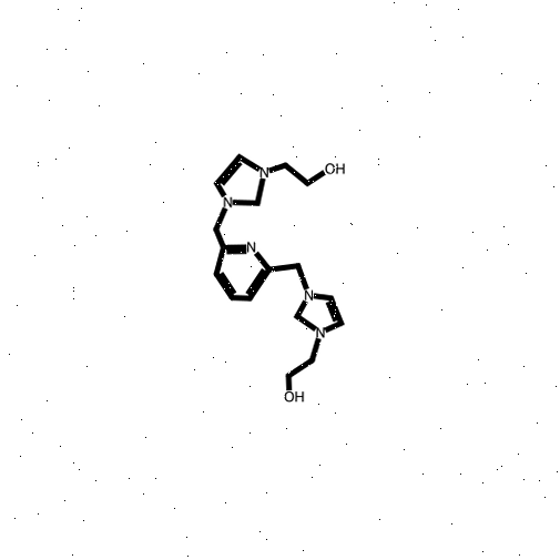 OCCN1C=CN(Cc2cccc(CN3C=CN(CCO)C3)n2)C1